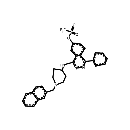 O=S(=O)(Oc1[c]cc2c(-c3ccccc3)nnc(NC3CCN(Cc4ccc5ccccc5c4)CC3)c2c1)C(F)(F)F